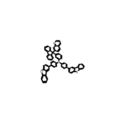 c1cc(N(c2ccc(-c3ccc4oc5ccccc5c4c3)cc2)c2ccc(-c3ccc4sc5ccccc5c4c3)cc2)cc(C2(c3ccc4cccnc4c3)c3ccccc3-c3ccccc32)c1